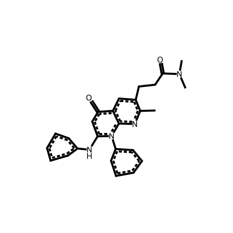 Cc1nc2c(cc1CCC(=O)N(C)C)c(=O)cc(Nc1ccccc1)n2-c1ccccc1